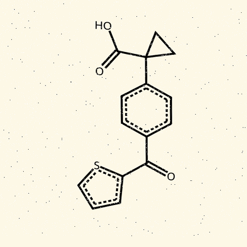 O=C(c1ccc(C2(C(=O)O)CC2)cc1)c1cccs1